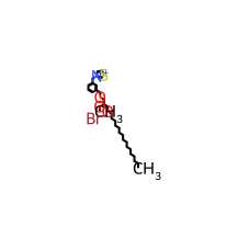 CCCCCCCCCCCCCCCCOCC(COCc1cccc(C[n+]2ccsc2)c1)OC.[Br-]